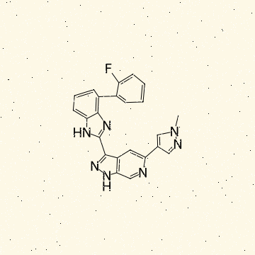 Cn1cc(-c2cc3c(-c4nc5c(-c6ccccc6F)cccc5[nH]4)n[nH]c3cn2)cn1